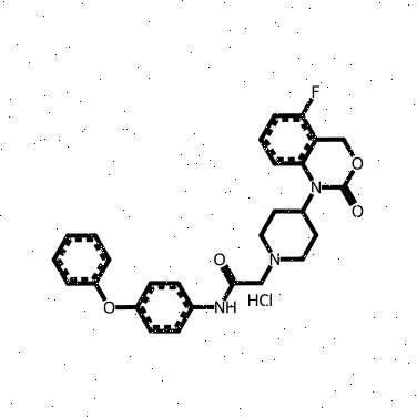 Cl.O=C(CN1CCC(N2C(=O)OCc3c(F)cccc32)CC1)Nc1ccc(Oc2ccccc2)cc1